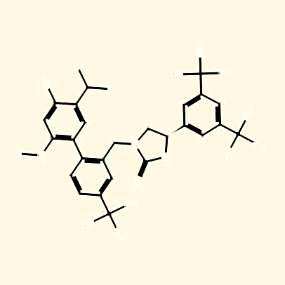 COc1cc(F)c(C(C)C)cc1-c1ccc(C(F)(F)F)cc1CN1C[C@@H](c2cc(C(F)(F)F)cc(C(F)(F)F)c2)OC1=O